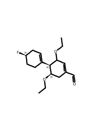 CCOC1C=C(C=O)C[C@@H](OCC)[C@H]1C1=CC[C@H](F)CC1